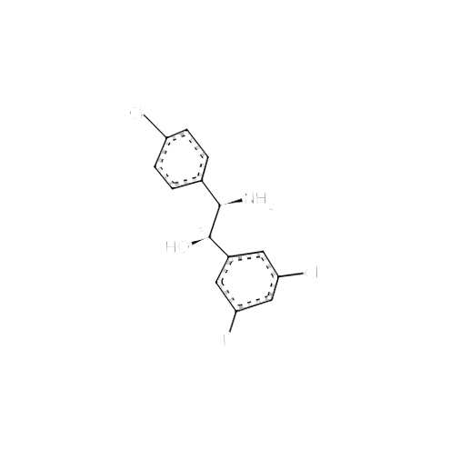 N[C@H](c1ccc(Cl)cc1)[C@H](O)c1cc(F)cc(Cl)c1